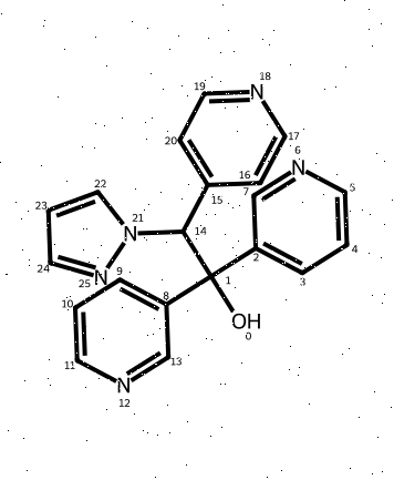 OC(c1cccnc1)(c1cccnc1)C(c1ccncc1)n1cccn1